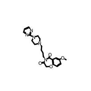 COc1ccc2c(c1)C(=O)N(CCCCN1CCN(c3ncccn3)CC1)C(=O)CO2